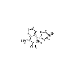 CC(CN)c1ccccc1C(C)c1ccc(Br)cc1